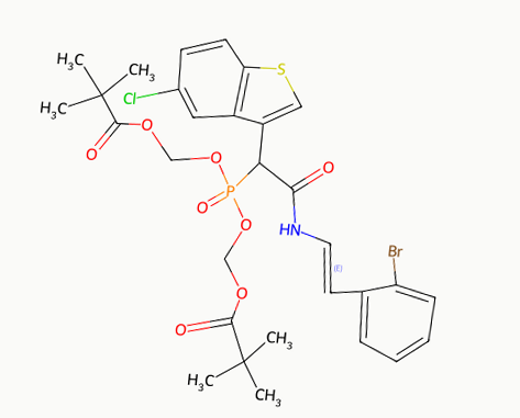 CC(C)(C)C(=O)OCOP(=O)(OCOC(=O)C(C)(C)C)C(C(=O)N/C=C/c1ccccc1Br)c1csc2ccc(Cl)cc12